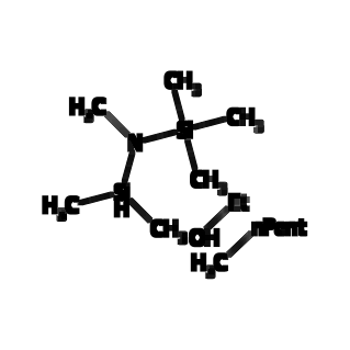 CCCCCC.CCO.CN([SiH](C)C)[Si](C)(C)C